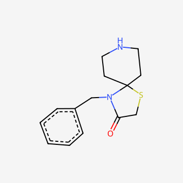 O=C1CSC2(CCNCC2)N1Cc1ccccc1